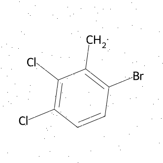 [CH2]c1c(Br)ccc(Cl)c1Cl